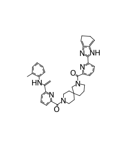 C=C(Nc1ccccc1C)c1cccc(C(=O)N2CCC3(CCCN(C(=O)c4cccc(-c5nc6c([nH]5)=CCCC=6)n4)C3)CC2)n1